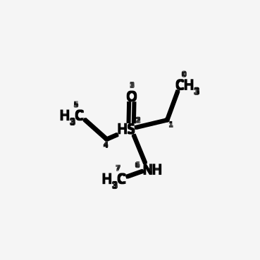 CC[SH](=O)(CC)NC